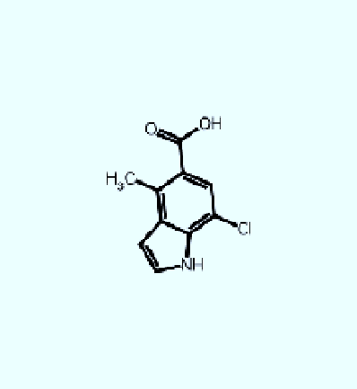 Cc1c(C(=O)O)cc(Cl)c2[nH]ccc12